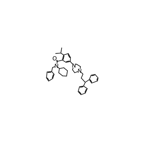 CC(C)c1ccc(N2CCN(CCC(c3ccccc3)c3ccccc3)CC2)cc1C(=O)N(Cc1ccccc1)C1CCCCC1